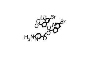 Nc1ccc(C(=O)COC(=O)C2CCc3cc(Br)cnc32)cn1.O=C([O-])C1CCc2cc(Br)cnc21.[Li+]